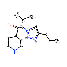 CCCc1cn([C@H](C(=O)C2CCNCC2)C(C)C)nn1